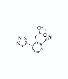 CC(C)Cc1c(C#N)cccc1-c1cnns1